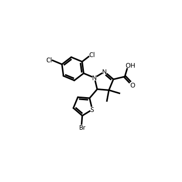 CC1(C)C(C(=O)O)=NN(c2ccc(Cl)cc2Cl)C1c1ccc(Br)s1